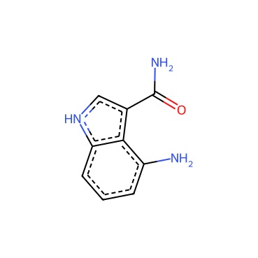 NC(=O)c1c[nH]c2cccc(N)c12